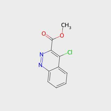 COC(=O)c1nnc2ccccc2c1Cl